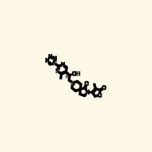 CC1=C(N2CCC3(CCN(C[C@H](O)c4cnc(-n5cnnn5)nc4C)CC3)C2=O)COC1=O